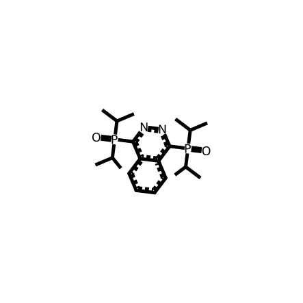 CC(C)P(=O)(c1nnc(P(=O)(C(C)C)C(C)C)c2ccccc12)C(C)C